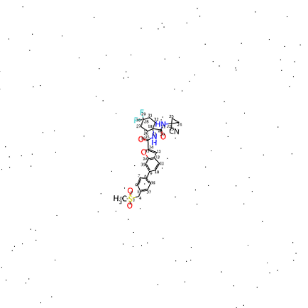 CS(=O)(=O)Cc1ccc(-c2ccc3cc(C(=O)NC4(C(=O)NC5(C#N)CC5)CCC(F)(F)CC4)oc3c2)cc1